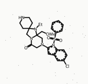 CCN1C2(CCNCC2)CN2C(=O)CN(c3cc4cc(Cl)ccc4n3S(=O)(=O)c3ccccc3)CC21COC